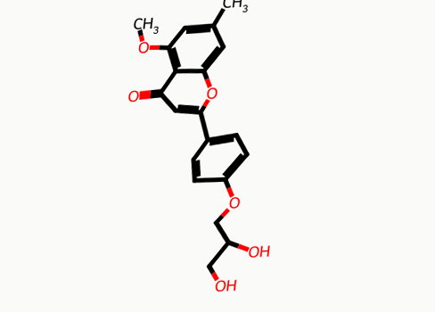 COc1cc(C)cc2oc(-c3ccc(OCC(O)CO)cc3)cc(=O)c12